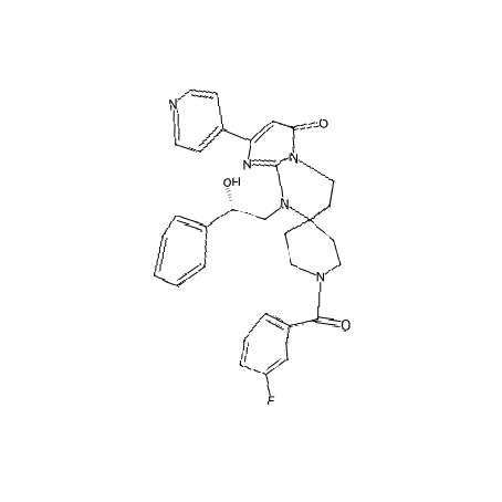 O=C(c1cccc(F)c1)N1CCC2(CC1)CCn1c(nc(-c3ccncc3)cc1=O)N2C[C@@H](O)c1ccccc1